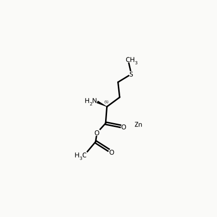 CSCC[C@H](N)C(=O)OC(C)=O.[Zn]